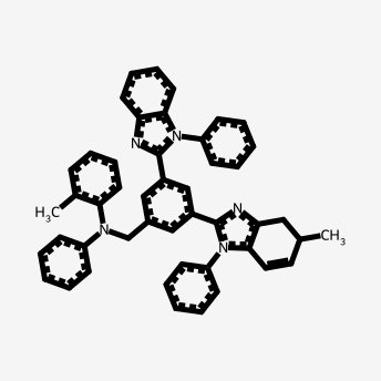 Cc1ccccc1N(Cc1cc(-c2nc3c(n2-c2ccccc2)C=CC(C)C3)cc(-c2nc3ccccc3n2-c2ccccc2)c1)c1ccccc1